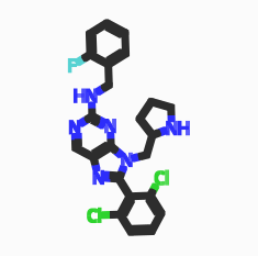 Fc1ccccc1CNc1ncc2nc(-c3c(Cl)cccc3Cl)n(CC3CCCN3)c2n1